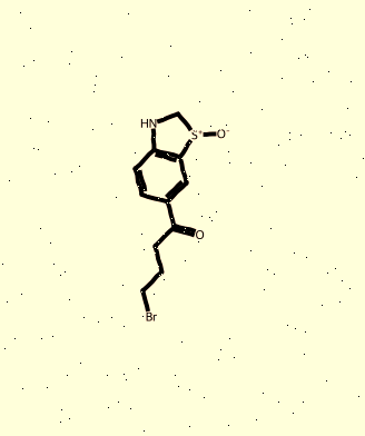 O=C(CCCBr)c1ccc2c(c1)[S+]([O-])CN2